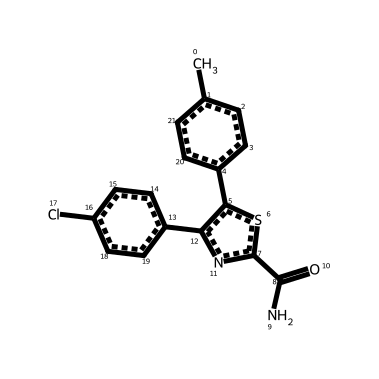 Cc1ccc(-c2sc(C(N)=O)nc2-c2ccc(Cl)cc2)cc1